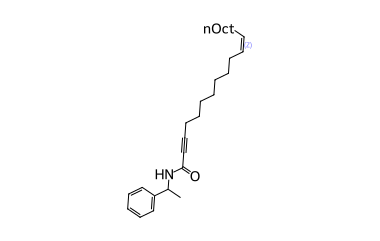 CCCCCCCC/C=C\CCCCCCCC#CC(=O)NC(C)c1ccccc1